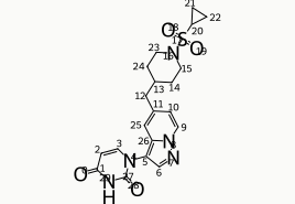 O=c1ccn(-c2cnn3ccc(CC4CCN(S(=O)(=O)C5CC5)CC4)cc23)c(=O)[nH]1